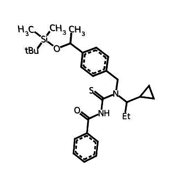 CCC(C1CC1)N(Cc1ccc(C(C)O[Si](C)(C)C(C)(C)C)cc1)C(=S)NC(=O)c1ccccc1